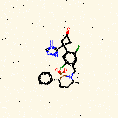 C[C@H]1CC[C@H](c2ccccc2)S(=O)(=O)N1Cc1cc(F)c(C2(c3nnc[nH]3)CC(=O)C2)cc1F